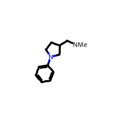 CNCC1CCN(c2ccccc2)C1